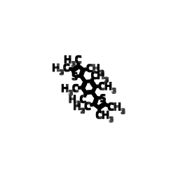 Cc1sc(-c2c(C)c(C)c(-c3sc(C)c(C)c3C)c(C)c2C)c(C)c1C